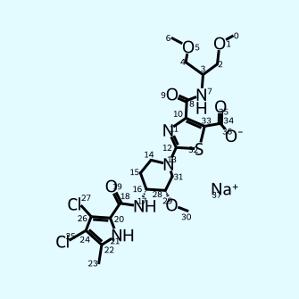 COCC(COC)NC(=O)c1nc(N2CC[C@@H](NC(=O)c3[nH]c(C)c(Cl)c3Cl)[C@@H](OC)C2)sc1C(=O)[O-].[Na+]